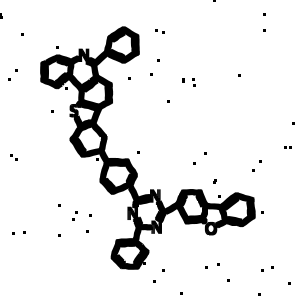 C1=CC(c2ccc(-c3nc(-c4ccccc4)nc(-c4ccc5c(c4)oc4ccccc45)n3)cc2)Cc2c1sc1c2ccc2c(-c3ccccc3)nc3ccccc3c21